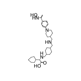 C=C(NO)c1ccc(N2CCC(CNCC3CCC(CN[C@H](C(=O)O)C4CCCCC4)CC3)CC2)cc1